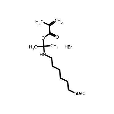 Br.C=C(C)C(=O)OC(C)(C)NCCCCCCCCCCCCCCCC